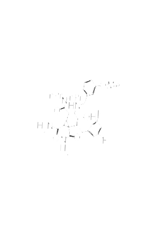 CCCN(CCC)C(=O)CC1C(C(N)=O)C1(C(N)=O)[C@H](Cc1cc(F)cc(F)c1)[C@@H](O)CNCc1cccc(OC)c1